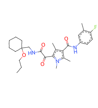 CCCOC1(CNC(=O)C(=O)c2c(C)c(C(=O)Nc3ccc(F)c(C)c3)c(C)n2C)CCCCC1